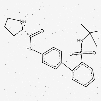 CC(C)(C)NS(=O)(=O)c1ccccc1-c1ccc(NC(=O)[C@@H]2CCCN2)cc1